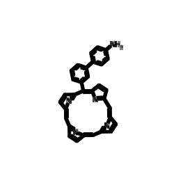 Nc1ccc(-c2cccc(C3=C4C=CC(=N4)C=C4C=CC(=N4)C=C4C=CC(=N4)C=C4C=CC3=N4)c2)cc1